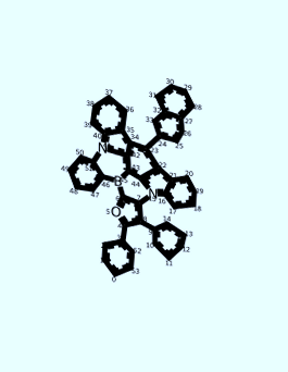 c1ccc(-c2oc3c(c2-c2ccccc2)-n2c4ccccc4c4c(-c5ccc6ccccc6c5)c5c6ccccc6n6c5c(c42)B3c2ccccc2-6)cc1